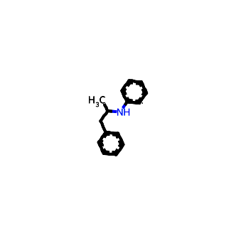 CC(Cc1ccccc1)Nc1[c]cccc1